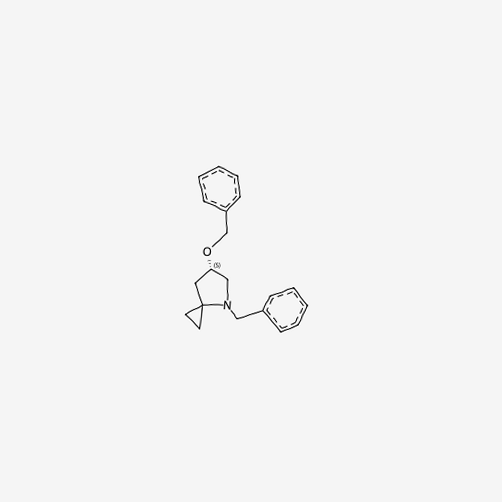 c1ccc(CO[C@@H]2CN(Cc3ccccc3)C3(CC3)C2)cc1